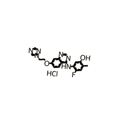 Cc1cc(F)c(Nc2ncnc3cc(OCCn4cncn4)ccc23)cc1O.Cl